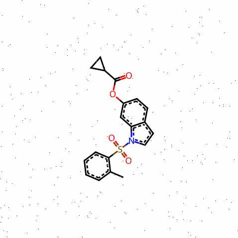 Cc1ccccc1S(=O)(=O)n1ccc2ccc(OC(=O)C3CC3)cc21